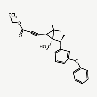 C[C@@H](c1cccc(Oc2ccccc2)c1)[C@@]1(C(=O)O)[C@H](C#CC(=O)OCC(Cl)(Cl)Cl)C1(C)C